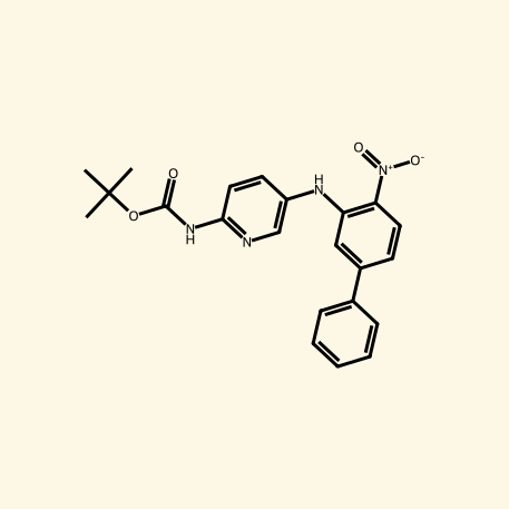 CC(C)(C)OC(=O)Nc1ccc(Nc2cc(-c3ccccc3)ccc2[N+](=O)[O-])cn1